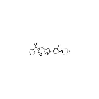 O=C1c2ccccc2C(=O)N1Cc1cn(-c2ccc(N3CCOCC3)c(F)c2)nn1